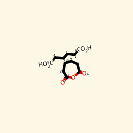 O=C(O)CCCCC(=O)O.O=C1CCCCC(=O)O1